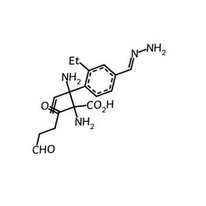 C=CC(N)(c1ccc(C=NN)cc1CC)C(N)(C(=O)O)C(=O)CCC=O